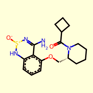 NC1=N[S+]([O-])Nc2cccc(OC[C@H]3CCCCN3C(=O)C3CCC3)c21